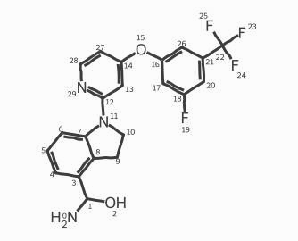 NC(O)c1cccc2c1CCN2c1cc(Oc2cc(F)cc(C(F)(F)F)c2)ccn1